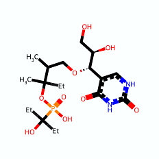 CCC(C)(OP(=O)(O)C(O)(CC)CC)C(C)CO[C@@H](c1c[nH]c(=O)[nH]c1=O)[C@H](O)CO